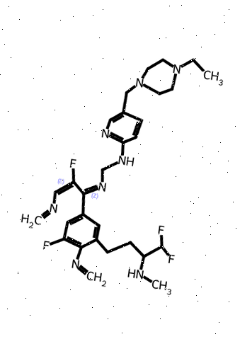 C=N/C=C(F)\C(=N/CNc1ccc(CN2CCN(CC)CC2)cn1)c1cc(F)c(N=C)c(CCC(NC)C(F)F)c1